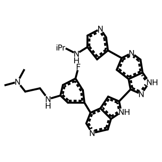 CC(C)Nc1cncc(-c2cc3c(-c4cc5c(-c6cc(F)cc(NCCN(C)C)c6)cncc5[nH]4)n[nH]c3cn2)c1